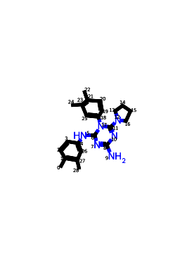 Cc1ccc(NC2N=C(N)N=C(N3CCCC3)N2c2ccc(C)c(C)c2)cc1C